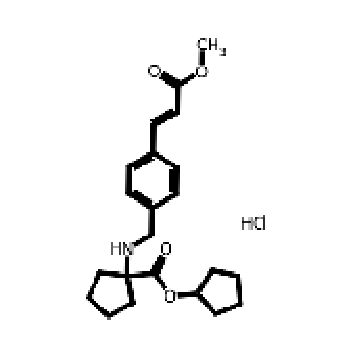 COC(=O)C=Cc1ccc(CNC2(C(=O)OC3CCCC3)CCCC2)cc1.Cl